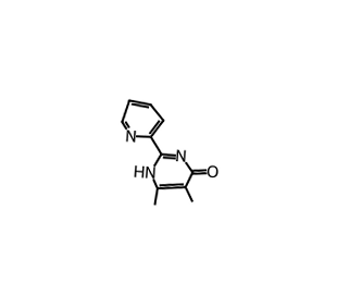 Cc1[nH]c(-c2ccccn2)nc(=O)c1C